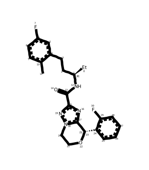 CC[C@H](CCc1cc(F)ccc1C)NC(=O)c1nc2n(n1)CCO[C@H]2c1ccccc1F